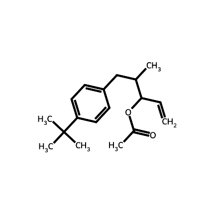 C=CC(OC(C)=O)C(C)Cc1ccc(C(C)(C)C)cc1